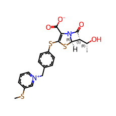 CSc1ccc[n+](Cc2ccc(SC3=C(C(=O)[O-])N4C(=O)[C@H]([C@@H](C)O)[C@H]4S3)cc2)c1